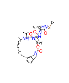 C=C[C@@H]1C[C@]1(NC(=O)[C@@H]1C[C@@H]2CN1C(=O)[C@H](C(C)C)NC(C)CCCCCCc1cccc3c1CN(C3)C(=O)O2)C(=O)NSC1CC1